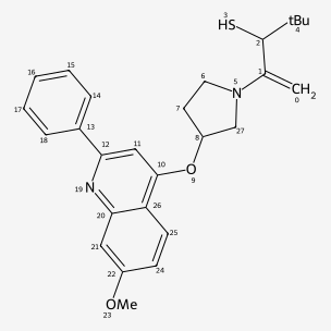 C=C(C(S)C(C)(C)C)N1CCC(Oc2cc(-c3ccccc3)nc3cc(OC)ccc23)C1